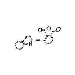 O=C1OC(=O)c2c(C#Cc3ccc4ccccc4n3)cccc21